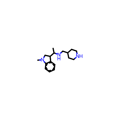 CC(NCC1CCNCC1)C1CN(C)c2ccccc21